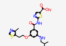 Cc1ncsc1CCOc1cc(NCC(C)C)cc(C(=O)Nc2ncc(C(=O)O)s2)c1